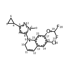 Cn1nc(C2CC2)cc1N1CC=Cc2cc(Cl)c(OC(F)F)cc21